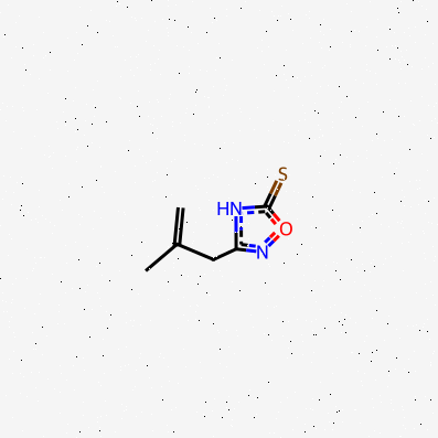 C=C(C)Cc1noc(=S)[nH]1